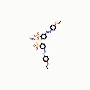 CCOc1ccc(N=Nc2ccc(Sc3ccc(N=Nc4ccc(OCC)cc4)cc3S(=O)(=O)[O-])c(S(=O)(=O)[O-])c2)cc1.[Na+].[Na+]